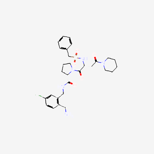 NCc1ccc(Cl)cc1CNC(=O)[C@@H]1CCCN1C(=O)[C@@H](CC(=O)N1CCCCC1)NS(=O)(=O)Cc1ccccc1